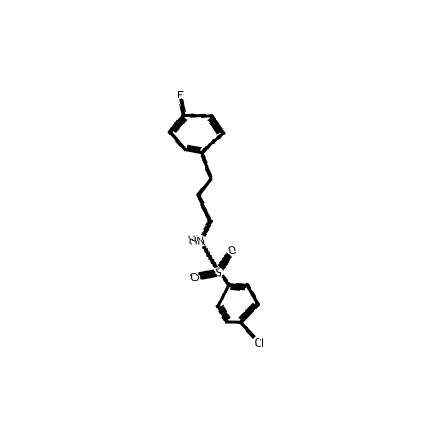 O=S(=O)(NCCCc1ccc(F)cc1)c1ccc(Cl)cc1